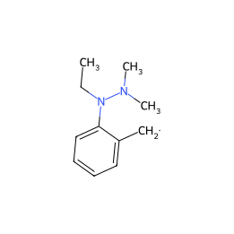 [CH2]c1ccccc1N(CC)N(C)C